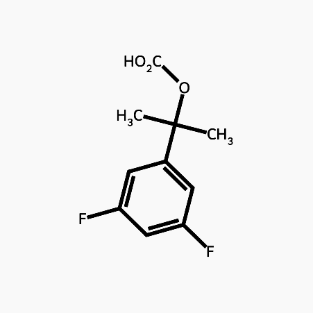 CC(C)(OC(=O)O)c1cc(F)cc(F)c1